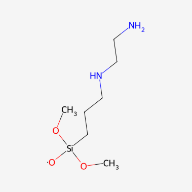 CO[Si]([O])(CCCNCCN)OC